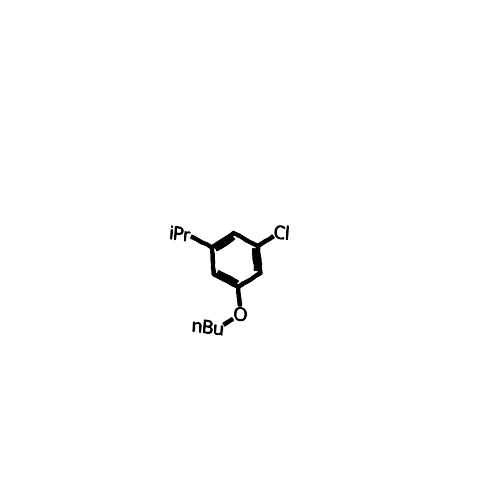 [CH2]C(C)c1cc(Cl)cc(OCCCC)c1